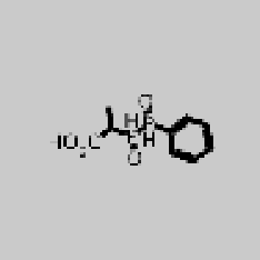 CC(C(=O)O)[PH](=O)[PH](=O)c1ccccc1